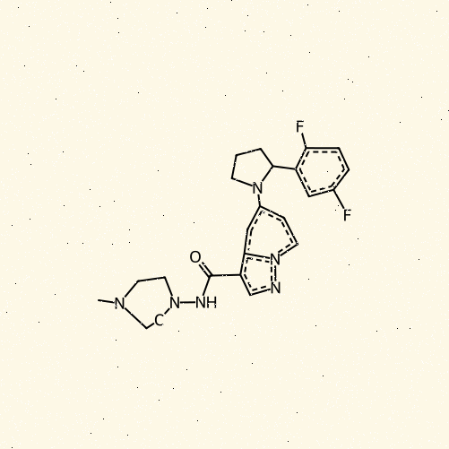 CN1CCN(NC(=O)c2cnn3ccc(N4CCCC4c4cc(F)ccc4F)cc23)CC1